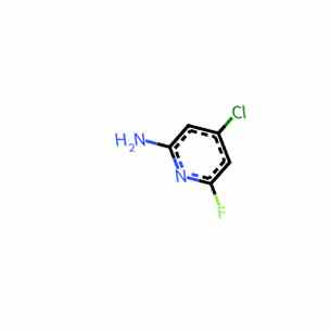 Nc1cc(Cl)cc(F)n1